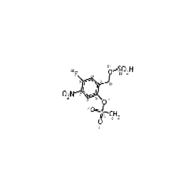 CS(=O)(=O)Oc1cc([N+](=O)[O-])c(F)cc1COS(=O)(=O)O